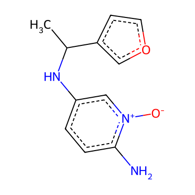 CC(Nc1ccc(N)[n+]([O-])c1)c1ccoc1